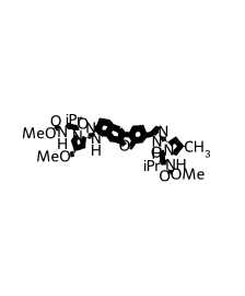 COC[C@H]1C[C@@H](c2nc3ccc4cc5c(cc4c3[nH]2)OCc2cc(-c3cnc([C@@H]4C[C@H](C)CN4C(=O)C(NC(=O)OC)C(C)C)[nH]3)ccc2-5)N(C(=O)[C@@H](NC(=O)OC)C(C)C)C1